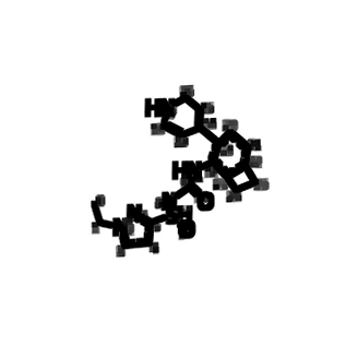 CCn1ccc(/[SH](=O)=N/C(=O)Nc2c(C3=CCNC=C3)ccc3c2CC3)n1